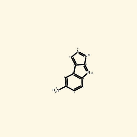 Nc1ccc2c(c1)C1=CN=NC1=N2